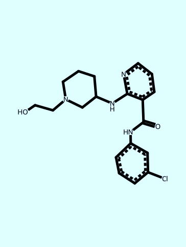 O=C(Nc1cccc(Cl)c1)c1cccnc1NC1CCCN(CCO)C1